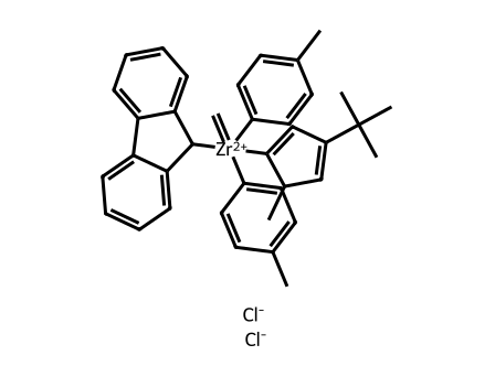 [CH2]=[Zr+2]([C]1=CC(C(C)(C)C)=CC1C)([c]1ccc(C)cc1)([c]1ccc(C)cc1)[CH]1c2ccccc2-c2ccccc21.[Cl-].[Cl-]